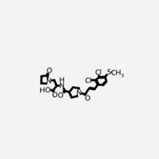 CSc1ccc(C=CC(=O)N2CCC(C(=O)NC(CN3CCCC3=O)C(=O)O)CC2)c(Cl)c1Cl